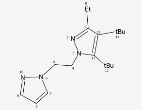 CCc1nn(CCn2cccn2)c(C(C)(C)C)c1C(C)(C)C